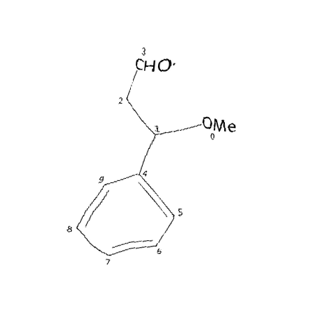 COC(C[C]=O)c1ccccc1